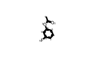 CC(=O)Oc1cccc(F)c1